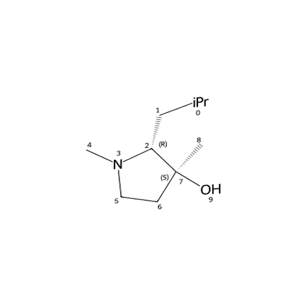 CC(C)C[C@H]1N(C)CC[C@]1(C)O